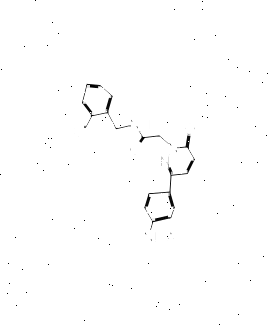 CC(=O)Nc1ccc(-c2ccc(=O)n(CC(=O)NCc3ccccc3Cl)n2)cc1